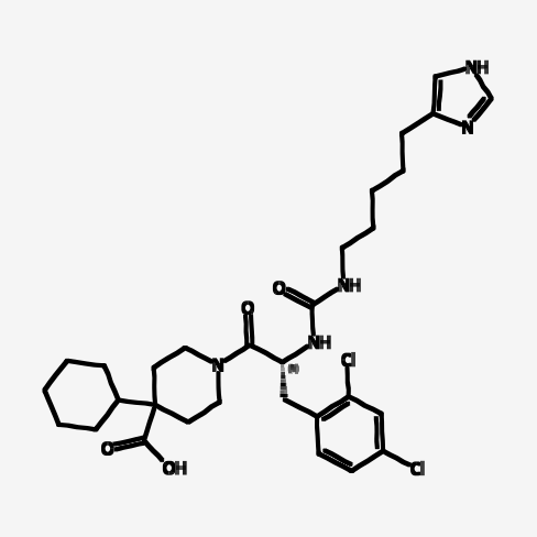 O=C(NCCCCCc1c[nH]cn1)N[C@H](Cc1ccc(Cl)cc1Cl)C(=O)N1CCC(C(=O)O)(C2CCCCC2)CC1